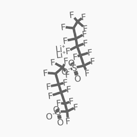 O=S(=O)([O-])C(F)(F)C(F)(F)C(F)(F)C(F)(F)C(F)C(F)(F)F.O=S(=O)([O-])C(F)(F)C(F)(F)C(F)(F)C(F)(F)C(F)C(F)(F)F.[Li+].[Li+]